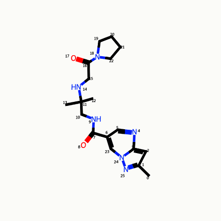 Cc1cc2ncc(C(=O)NCC(C)(C)NCC(=O)N3CCCC3)cn2n1